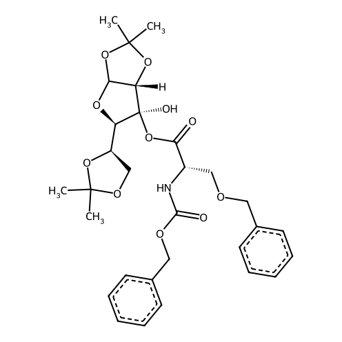 CC1(C)OC[C@H]([C@H]2OC3OC(C)(C)O[C@@H]3[C@@]2(O)OC(=O)[C@H](COCc2ccccc2)NC(=O)OCc2ccccc2)O1